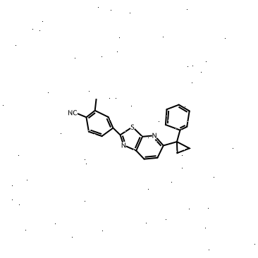 Cc1cc(-c2nc3ccc(C4(c5ccccc5)CC4)nc3s2)ccc1C#N